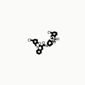 Cc1cc(Cl)ccc1Oc1nc2ccccc2cc1C(=O)Nc1ccc(S(=O)(=O)Nc2cccc(Cl)c2C)cc1